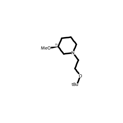 CO[C@H]1CCCN(CCOC(C)(C)C)C1